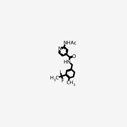 CC(=O)Nc1cc(C(=O)NCC2=CC(C(C)(F)I)=C(C)CC2)ccn1